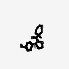 CC1(C(=O)N2OCC[C@H]2c2ccc(F)cc2)CCCOC1